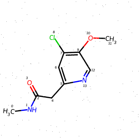 CNC(=O)Cc1cc(Cl)c(OC)cn1